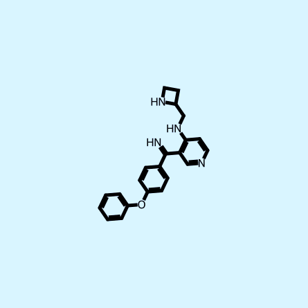 N=C(c1ccc(Oc2ccccc2)cc1)c1cnccc1NCC1CCN1